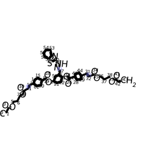 C=CC(=O)OCCCOC(=O)/C=C/c1ccc(C(=O)Oc2ccc(OC(=O)c3ccc(/C=C/C(=O)OCCCOC(=O)C=C)cc3)c(/C=N/Nc3nc4ccccc4s3)c2)cc1